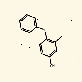 Cc1cc(C#N)ccc1Oc1ccccc1